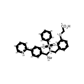 O=C(O)COc1cccc(CN(Cc2ccc(-c3ccccn3)cc2)S(=O)(=O)c2ccccc2)c1.[Na]